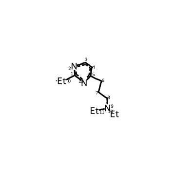 C[CH]c1nccc(CCCN(CC)CC)n1